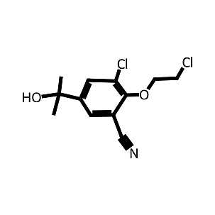 CC(C)(O)c1cc(Cl)c(OCCCl)c(C#N)c1